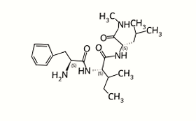 CCC(C)[C@H](NC(=O)[C@@H](N)Cc1ccccc1)C(=O)N[C@@H](CC(C)C)C(=O)NC